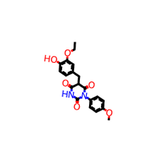 CCOc1cc(CC2C(=O)NC(=O)N(c3ccc(OC)cc3)C2=O)ccc1O